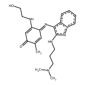 CC1=C/C(=N\c2c(NCCCN(C)C)nn3ccccc23)C(NCCO)=CC1=O